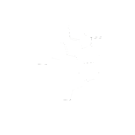 CCCCOc1nc(N)c2[nH]c(=O)n(CC3CCN(CCC(=O)OC)CC3)c2n1